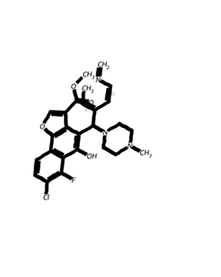 C=N/C=C\C(=C/C)C(c1c(O)c2c(F)c(Cl)ccc2c2occ(C(=O)OC)c12)N1CCN(C)CC1